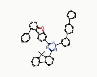 CC1(C)c2ccccc2-c2cccc(-c3nc(-c4cccc(-c5ccc(-c6ccccc6)cc5)c4)nc(-c4ccc5c(c4)oc4cccc(-c6ccccc6)c45)n3)c21